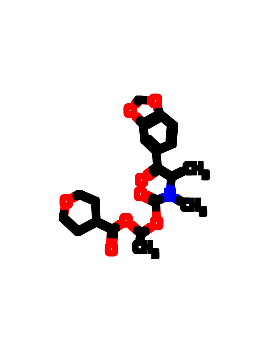 CC(OC(=O)C1CCOCC1)OC(=O)N(C)C(C)C(=O)c1ccc2c(c1)OCO2